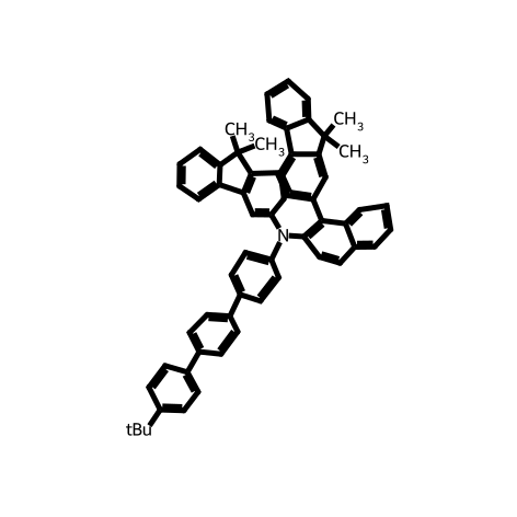 CC(C)(C)c1ccc(-c2ccc(-c3ccc(N(C4=CC5=C(CC4)C(C)(C)c4ccccc45)c4ccc5ccccc5c4C4=C=C=C5C(=C4)C(C)(C)c4ccccc45)cc3)cc2)cc1